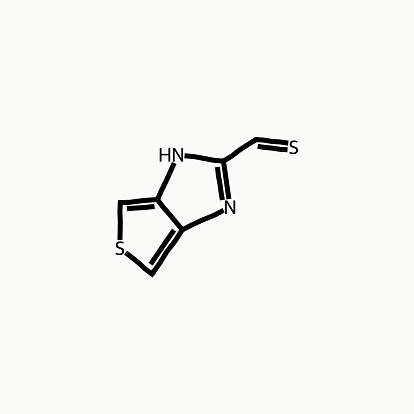 S=Cc1nc2cscc2[nH]1